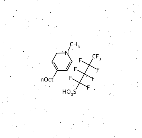 CCCCCCCCC1=CCN(C)C=C1.O=S(=O)(O)C(F)(F)C(F)(F)C(F)(F)C(F)(F)F